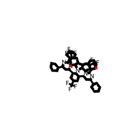 FC(F)(F)c1cc(-c2cc(-c3ccccc3)nc(-c3ccccc3)n2)c(-n2c3ccc(C(F)(F)F)cc3c3cc(C(F)(F)F)ccc32)c(-c2cc(-c3ccccc3)nc(-c3ccccc3)n2)c1